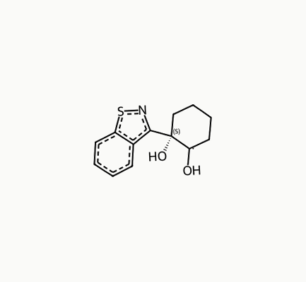 O[C]1CCCC[C@]1(O)c1nsc2ccccc12